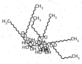 CCCCCCCCCCCCCCCC(=O)O[C@H](CCCCCCCCCCC)CC(=O)NC1[C@H](O)OC(CO[C@@H]2OC(CO)[C@@H](OP(=O)(O)O)C(OC(=O)C[C@@H](CCCCCCCCCCC)OC(=O)CCCCCCCCCCCCC)[C@@H]2NC(=O)C[C@@H](CCCCCCCCCCC)OC(=O)CCCCCCCCCCC)[C@@H](O)[C@@H]1O